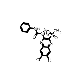 CS(=O)(=O)c1nc2cc(Cl)c(Cl)cc2nc1N(N)C(=O)Nc1ccccc1